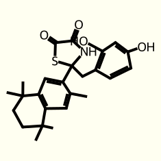 Cc1cc2c(cc1C1(Cc3ccc(O)cc3O)NC(=O)C(=O)S1)C(C)(C)CCC2(C)C